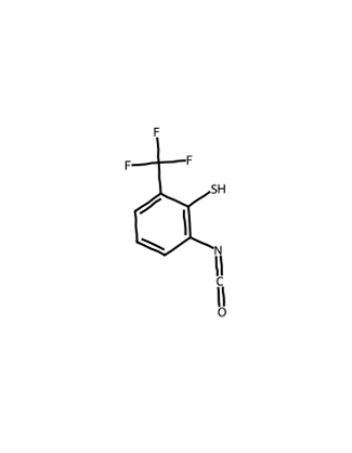 O=C=Nc1cccc(C(F)(F)F)c1S